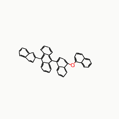 c1ccc2cc(-c3c4ccccc4c(-c4ccc(Oc5cccc6ccccc56)c5ccccc45)c4ccccc34)ccc2c1